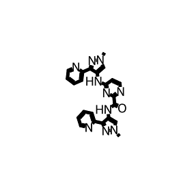 Cn1cc(NC(=O)c2nccc(Nc3cn(C)nc3-c3ccccn3)n2)c(-c2ccccn2)n1